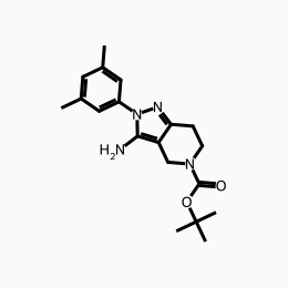 Cc1cc(C)cc(-n2nc3c(c2N)CN(C(=O)OC(C)(C)C)CC3)c1